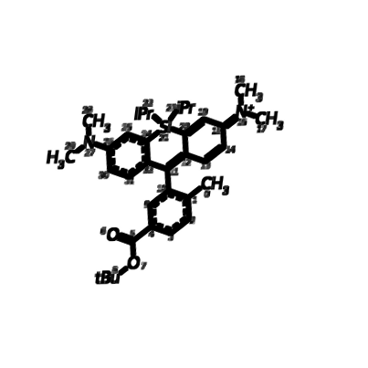 Cc1ccc(C(=O)OC(C)(C)C)cc1C1=C2C=CC(=[N+](C)C)C=C2[Si](C(C)C)(C(C)C)c2cc(N(C)C)ccc21